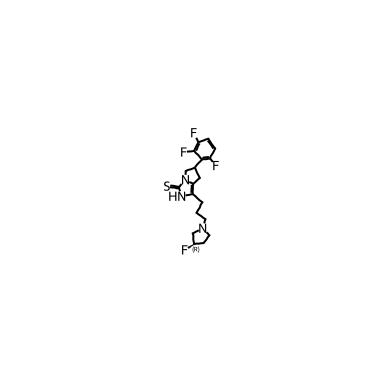 Fc1ccc(F)c(C2Cc3c(CCCN4CC[C@@H](F)C4)[nH]c(=S)n3C2)c1F